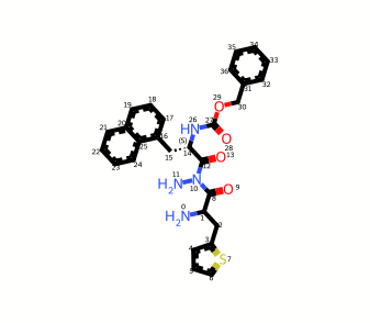 NC(Cc1cccs1)C(=O)N(N)C(=O)[C@H](Cc1cccc2ccccc12)NC(=O)OCc1ccccc1